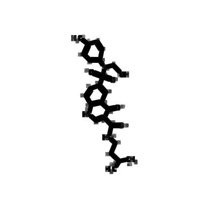 Cc1ccc(N(CO)S(=O)(=O)c2ccc3[nH]cc(C(=O)NCCC(C)C)c(=O)c3c2)cc1